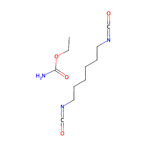 CCOC(N)=O.O=C=NCCCCCCN=C=O